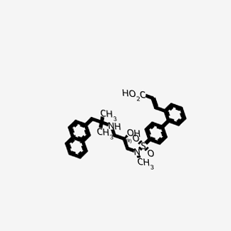 CN(C[C@H](O)CNC(C)(C)Cc1ccc2ccccc2c1)S(=O)(=O)c1ccc(-c2ccccc2C=CC(=O)O)cc1